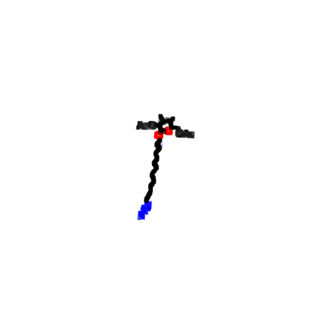 CC(=O)OCC1O[C@@H](OC/C=C/CCCCCCCCCN=[N+]=[N-])C(OC(C)=O)[C@@H](C)[C@H]1C